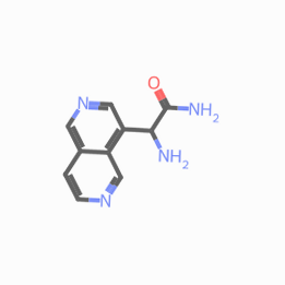 NC(=O)C(N)c1cncc2ccncc12